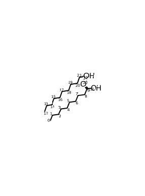 CCCCCCCCCC(=O)O.CCCCCCCCCCO